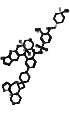 CC(C)c1ccsc1[C@@H]1COCCN1C1CC2(CCN(c3ccc(C(=O)NS(=O)(=O)c4ccc(NC[C@H]5CC[C@](C)(O)CC5)c([N+](=O)[O-])c4)c(N4c5cc6cc[nH]c6nc5O[C@H]5COCC[C@@H]54)c3)CC2)C1